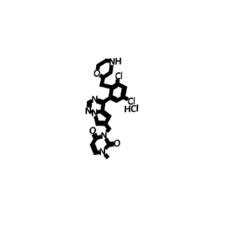 Cl.Cn1ccc(=O)n(Cc2cc3c(-c4cc(Cl)cc(Cl)c4CC4CNCCO4)ncnn3c2)c1=O